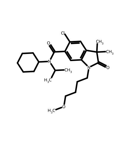 COCCCCN1C(=O)C(C)(C)c2cc(Cl)c(C(=O)N(C(C)C)C3CCCCC3)cc21